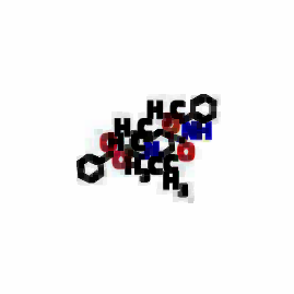 CC1(c2ccccc2)NC(=O)C2(CC(C)(C)N(CCOC(=O)c3ccccc3)C(C)(C)C2)O1